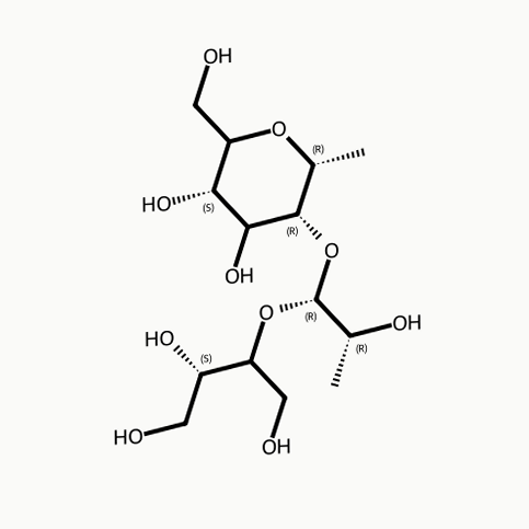 C[C@@H](O)[C@H](OC(CO)[C@@H](O)CO)O[C@@H]1C(O)[C@H](O)C(CO)O[C@@H]1C